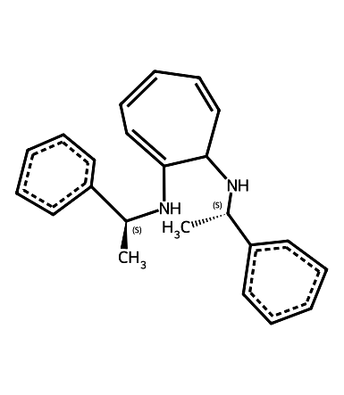 C[C@H](NC1=CC=CC=CC1N[C@@H](C)c1ccccc1)c1ccccc1